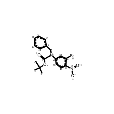 CC(C)(C)OC(=O)N(Cc1ccccc1)c1ccc([N+](=O)[O-])c(Br)c1